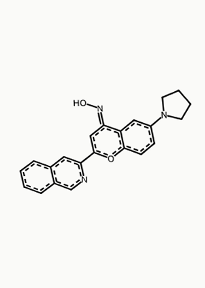 ON=c1cc(-c2cc3ccccc3cn2)oc2ccc(N3CCCC3)cc12